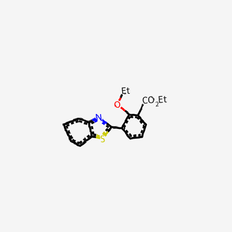 CCOC(=O)c1cccc(-c2nc3ccccc3s2)c1OCC